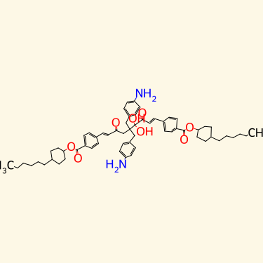 CCCCCCC1CCC(OC(=O)c2ccc(C=CC(=O)CC(Cc3ccc(N)cc3)(Cc3ccc(N)cc3)C(O)(O)C(=O)C=Cc3ccc(C(=O)OC4CCC(CCCCCC)CC4)cc3)cc2)CC1